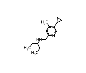 CCC(CC)NCc1cc(C)c(C2CC2)cn1